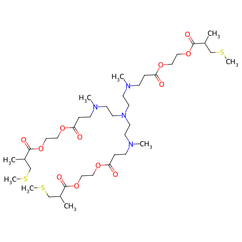 CSCC(C)C(=O)OCCOC(=O)CCN(C)CCN(CCN(C)CCC(=O)OCCOC(=O)C(C)CSC)CCN(C)CCC(=O)OCCOC(=O)C(C)CSC